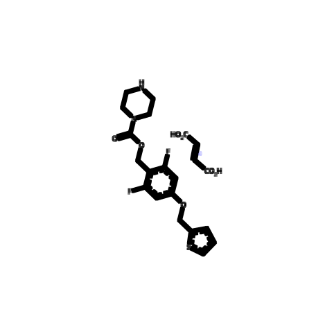 O=C(O)/C=C/C(=O)O.O=C(OCc1c(F)cc(OCc2cccs2)cc1F)N1CCNCC1